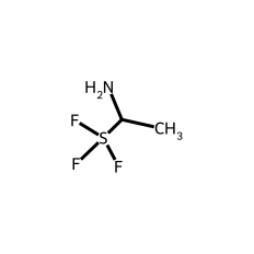 CC(N)S(F)(F)F